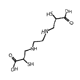 O=C(O)C(S)CNCCNCC(S)C(=O)O